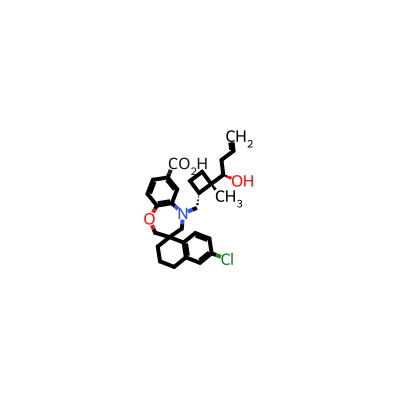 C=CC[C@@H](O)[C@@]1(C)CC[C@H]1CN1CC2(CCCc3cc(Cl)ccc32)COc2ccc(C(=O)O)cc21